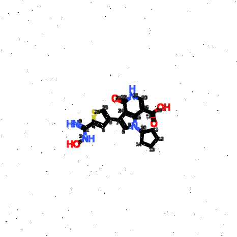 N=C(NO)c1cc(-c2cn(C3CCCC3)c3c(C(=O)O)c[nH]c(=O)c23)cs1